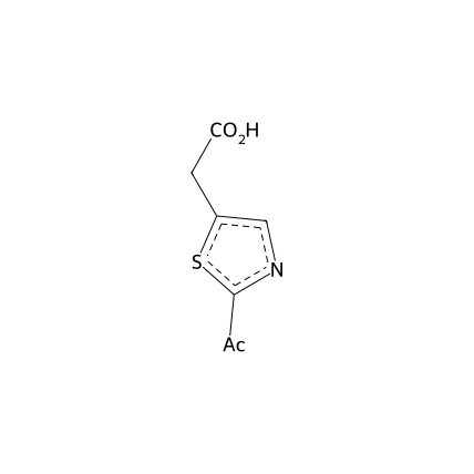 CC(=O)c1ncc(CC(=O)O)s1